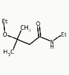 CCNC(=O)CC(C)(C)OCC